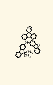 CC1(C)c2ccccc2-c2ccc(N(c3ccc4oc5ccccc5c4c3)c3cccc4c3-c3ccccc3C43CC4CCC3C4)cc21